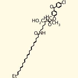 CCC=CCC=CCC=CCC=CCC=CCC=CCCC(=O)NCCCCC(NC(=O)C(C)(C)Oc1ccc(C(=O)c2ccc(Cl)cc2)cc1)C(=O)O